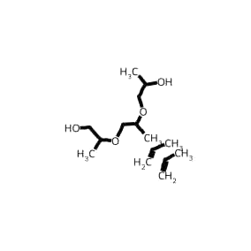 C=CC.C=CC.CC(O)COC(C)COC(C)CO